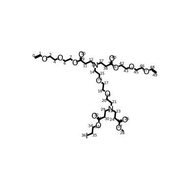 C=COCCOCCOC(=O)CCN(CCOCCOCCN(CCC(=O)OC)CCC(=O)OCCI)CCC(=O)OCCOCCOC=C